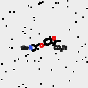 CCOC(=O)c1c(C)oc2ccc(OCC3CCN(C(C)(C)C)C3)cc12